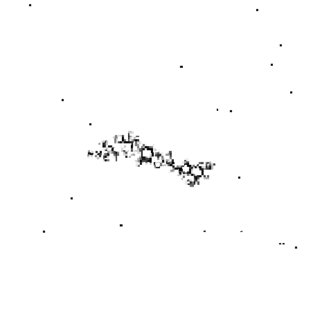 O=C(Nc1ccn([C@@H]2O[C@H](COP(=O)(O)O)[C@@H](O)C2(F)F)c(=O)n1)OCc1cc2cc(Br)cc(Br)c2o1